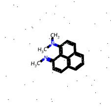 C/N=C1\C=Cc2cccc3ccc(N(C)C)c1c23